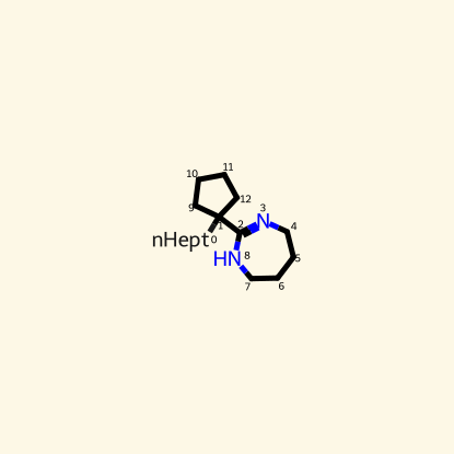 CCCCCCCC1(C2=NCCCCN2)CCCC1